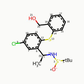 C[C@H](N[S+]([O-])C(C)(C)C)c1cc(Cl)ccc1Sc1ccccc1CO